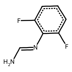 NC=Nc1c(F)cccc1F